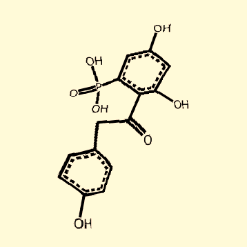 O=C(Cc1ccc(O)cc1)c1c(O)cc(O)cc1P(=O)(O)O